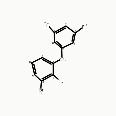 Fc1cc(F)cc(Oc2cccc(Br)c2I)c1